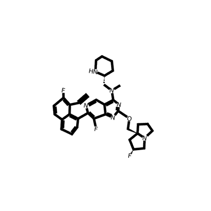 C#Cc1c(F)ccc2cccc(-c3ncc4c(N(C)C[C@H]5CCCCN5)nc(OC[C@@]56CCCN5C[C@H](F)C6)nc4c3F)c12